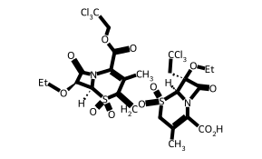 C=C1C(C)=C(C(=O)OCC(Cl)(Cl)Cl)N2C(=O)[C@H](OCC)[C@@H]2S1(=O)=O.CCO[C@@]1(CC(Cl)(Cl)Cl)C(=O)N2C(C(=O)O)=C(C)CS(=O)(=O)[C@H]21